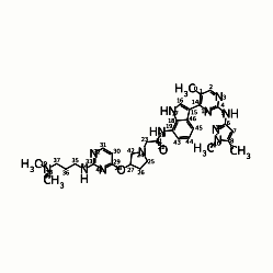 Cc1cnc(Nc2cc(C)n(C)n2)nc1-c1c[nH]c2c(NC(=O)CN3CCC(Oc4ccnc(NCCCN(C)C)n4)C3)cccc12